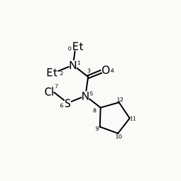 CCN(CC)C(=O)N(SCl)C1CCCC1